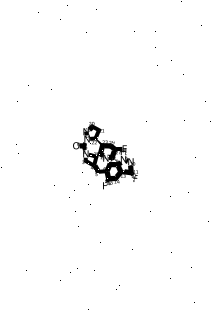 O=C(N1CC(=Cc2cc3[nH]nc(F)c3cc2F)C1)N1N=CC[C@H]1c1cncc(F)c1